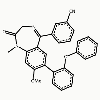 COc1cc2c(cc1-c1ccccc1Oc1ccccc1)C(c1cccc(C#N)c1)=NCC(=O)N2C